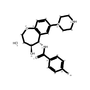 Cl.O=C(N[C@H]1c2cc(N3CCNCC3)ccc2OCC[C@@H]1O)c1ccc(F)cc1